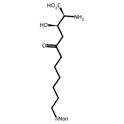 CCCCCCCCCCCCCCCC(=O)C[C@@H](O)[C@H](N)C(=O)O